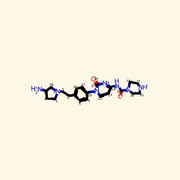 NC1CCN(CCc2ccc(-n3ccc(NC(=O)N4CCNCC4)nc3=O)cc2)C1